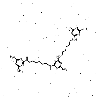 Nc1nc(N)nc(NCCCCCCNc2nc(N)nc(NCCCCCCNc3nc(N)nc(N)n3)n2)n1